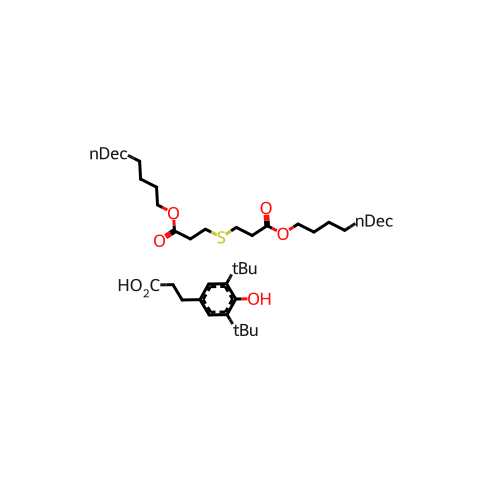 CC(C)(C)c1cc(CCC(=O)O)cc(C(C)(C)C)c1O.CCCCCCCCCCCCCCOC(=O)CCSCCC(=O)OCCCCCCCCCCCCCC